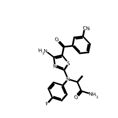 CC(C(N)=O)N(c1ccc(F)cc1)c1nc(N)c(C(=O)c2cccc(C#N)c2)s1